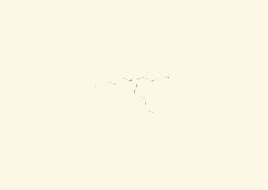 CCSCCN(CCSCC)CCSCC